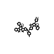 Cc1ccc(N(c2ccc3c(c2)C(C)(C)c2cc(-c4ccncc4)c4oc5ccccc5c4c2-3)c2ccc3c(c2)C(C)(C)c2c4c(c5c(oc6ccccc65)c2-3)-c2ccccc2C4(C)C)cc1